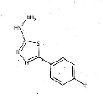 NNc1nnc(-c2ccc(Cl)cc2)s1